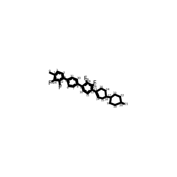 Cc1ccc(-c2ccc(-c3ccc(C4=CCC(C5CCC(C)CC5)CC4)c(F)c3F)cc2)c(F)c1F